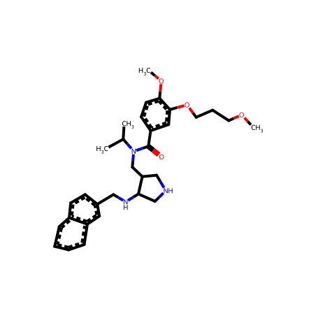 COCCCOc1cc(C(=O)N(CC2CNCC2NCc2ccc3ccccc3c2)C(C)C)ccc1OC